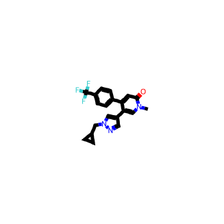 Cn1cc(-c2cnn(CC3CC3)c2)c(-c2ccc(C(F)(F)F)cc2)cc1=O